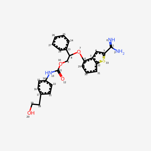 N=C(N)c1cc2c(OC(COC(=O)Nc3ccc(CCO)cc3)c3ccccc3)cccc2s1